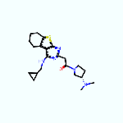 CN(C)[C@H]1CCN(C(=O)Cc2nc(NCC3CC3)c3c4c(sc3n2)CCCC4)C1